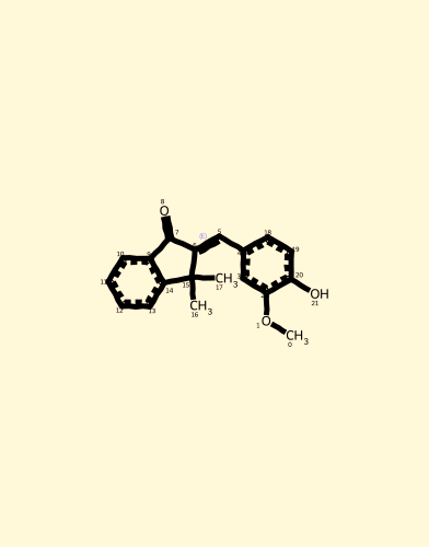 COc1cc(/C=C2/C(=O)c3ccccc3C2(C)C)ccc1O